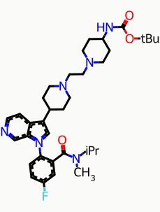 CC(C)N(C)C(=O)c1cc(F)ccc1-n1cc(C2CCN(CCN3CCC(NC(=O)OC(C)(C)C)CC3)CC2)c2ccncc21